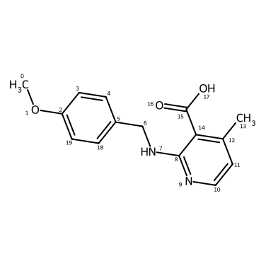 COc1ccc(CNc2nccc(C)c2C(=O)O)cc1